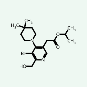 CC(C)OC(=O)Cc1cnc(CO)c(Br)c1N1CCC(C)(C)CC1